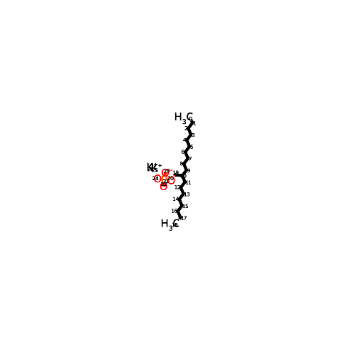 CCCCCCCCCCC(CCCCCCCC)COP(=O)([O-])[O-].[K+].[K+]